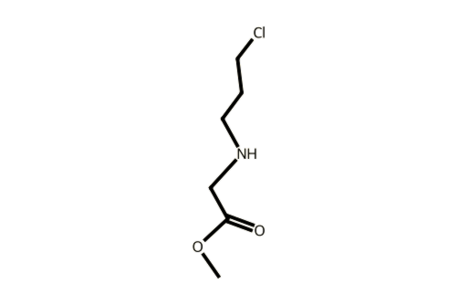 COC(=O)CNCCCCl